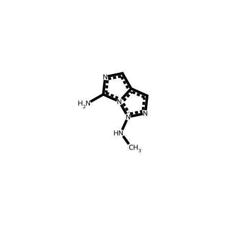 CNn1ncc2cnc(N)n21